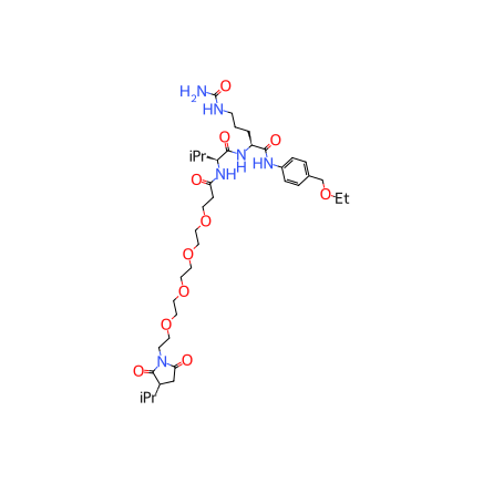 CCOCc1ccc(NC(=O)[C@H](CCCNC(N)=O)NC(=O)[C@@H](NC(=O)CCOCCOCCOCCOCCN2C(=O)CC(C(C)C)C2=O)C(C)C)cc1